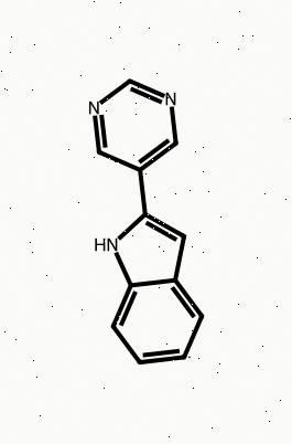 [c]1ccc2[nH]c(-c3cncnc3)cc2c1